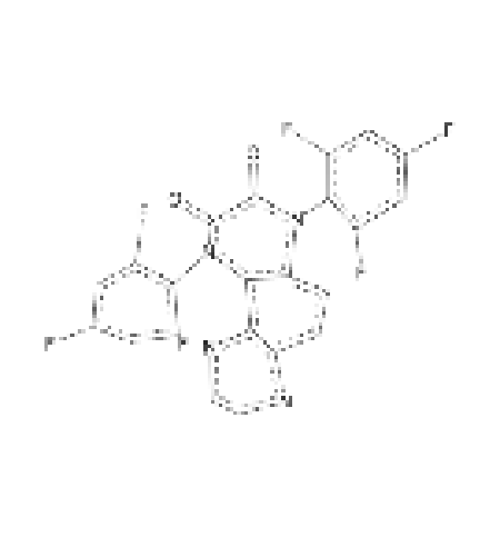 O=c1c(=O)n(-c2c(F)cc(F)cc2F)c2c3nccnc3ccc2n1-c1c(F)cc(F)cc1F